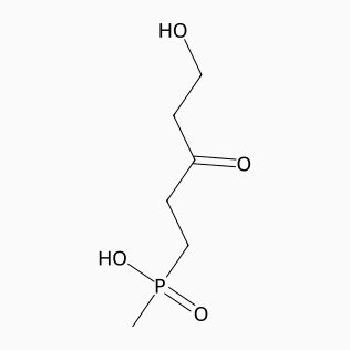 CP(=O)(O)CCC(=O)CCO